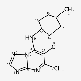 Cc1nc2ncnn2c(NC2CCC(C)CC2)c1Cl